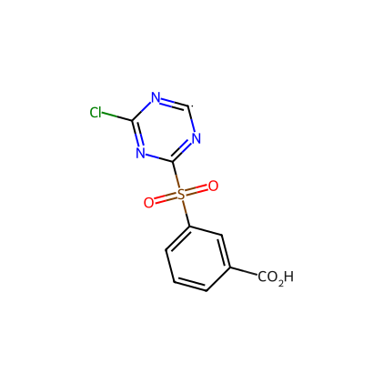 O=C(O)c1cccc(S(=O)(=O)c2n[c]nc(Cl)n2)c1